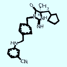 C[C@]1(CC2CCCC2)NC(=N)N(Cc2ccc(CNc3cccc(C#N)c3)cc2)C1=O